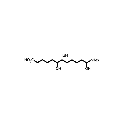 CCCCCCC(O)CCCCCC(O)CCCCC(=O)O.[LiH]